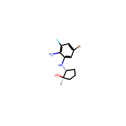 C[C@@]1(O)CCC[C@H]1Nc1cc(Br)cc(F)c1N